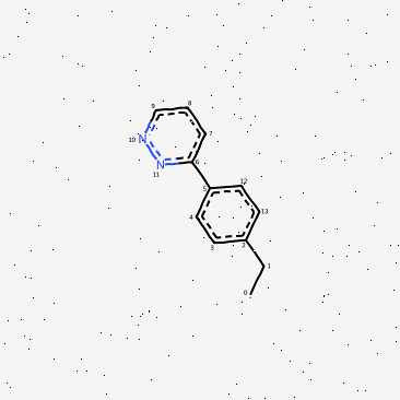 [CH2]Cc1ccc(-c2cccnn2)cc1